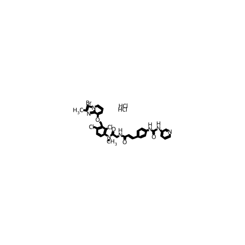 Cc1nc2c(OCc3c(Cl)ccc(N(C)C(=O)CNC(=O)/C=C/c4ccc(NC(=O)Nc5cccnc5)cc4)c3Cl)cccn2c1Br.Cl.Cl